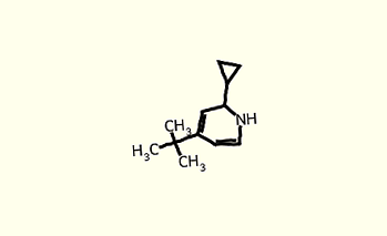 CC(C)(C)C1=CC(C2CC2)NC=C1